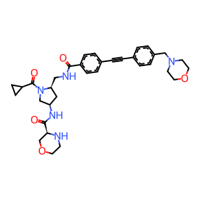 O=C(NC[C@H]1C[C@@H](NC(=O)[C@@H]2COCCN2)CN1C(=O)C1CC1)c1ccc(C#Cc2ccc(CN3CCOCC3)cc2)cc1